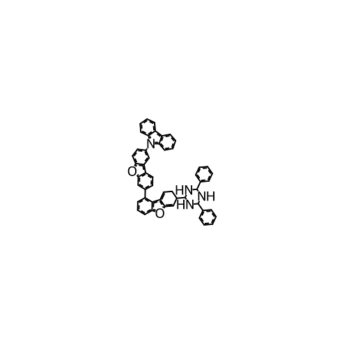 C1=c2oc3cccc(-c4ccc5c(c4)oc4ccc(-n6c7ccccc7c7ccccc76)cc45)c3c2=CCC1C1NC(c2ccccc2)NC(c2ccccc2)N1